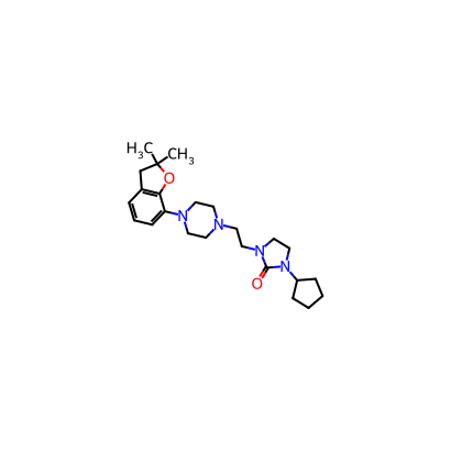 CC1(C)Cc2cccc(N3CCN(CCN4CCN(C5CCCC5)C4=O)CC3)c2O1